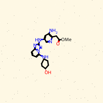 COC(=O)Cc1ncc(Nc2nc3cccc(N[C@H]4CC[C@@H](O)CC4)n3n2)cc1N